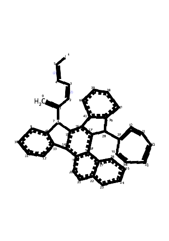 C=C(/C=C\C=C/I)I1c2ccccc2-c2c1c1c(c3c2ccc2ccccc23)C(C2=C=CC=CC=C2)c2ccccc2-1